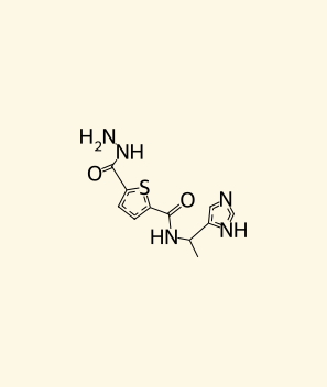 CC(NC(=O)c1ccc(C(=O)NN)s1)c1cnc[nH]1